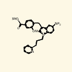 COC(=O)c1ccc(Cc2cn(CCCc3ccccn3)c3ccc(N)cc23)c(OC)c1